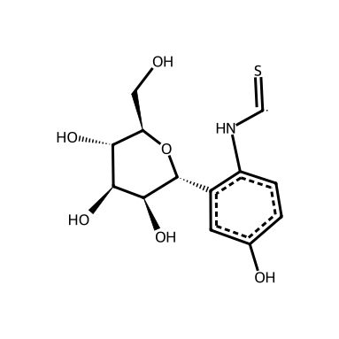 OC[C@H]1O[C@H](c2cc(O)ccc2N[C]=S)[C@@H](O)[C@@H](O)[C@@H]1O